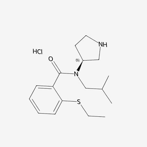 CCSc1ccccc1C(=O)N(CC(C)C)[C@H]1CCNC1.Cl